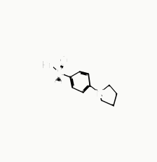 CC(C)S(=O)(=O)c1ccc(N2CCCC2)cc1